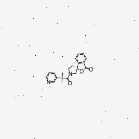 CC(C)(C(=O)N1CC[C@@]2(C1)OC(=O)c1ccccc12)c1cccnc1